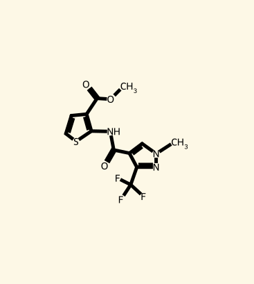 COC(=O)c1ccsc1NC(=O)c1cn(C)nc1C(F)(F)F